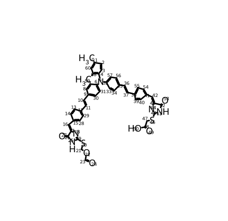 Cc1ccc(N(c2ccc(/C=C/c3ccc(/C=C4\N=C(SCOC=O)NC4=O)cc3)cc2)c2ccc(/C=C/c3ccc(/C=C4\N=C(SCC(=O)O)NC4=O)cc3)cc2)c(C)c1